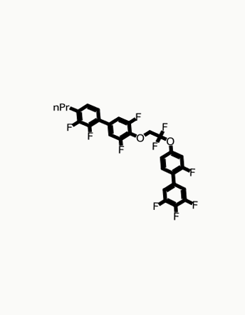 CCCc1ccc(-c2cc(F)c(OCC(F)(F)Oc3ccc(-c4cc(F)c(F)c(F)c4)c(F)c3)c(F)c2)c(F)c1F